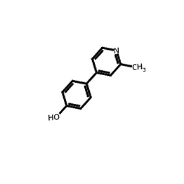 Cc1cc(-c2ccc(O)cc2)ccn1